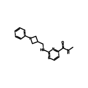 CNC(=O)c1ccnc(NCC2CN(c3ccccc3)C2)n1